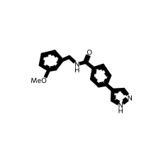 COc1cccc(CNC(=O)c2ccc(-c3cn[nH]c3)cc2)c1